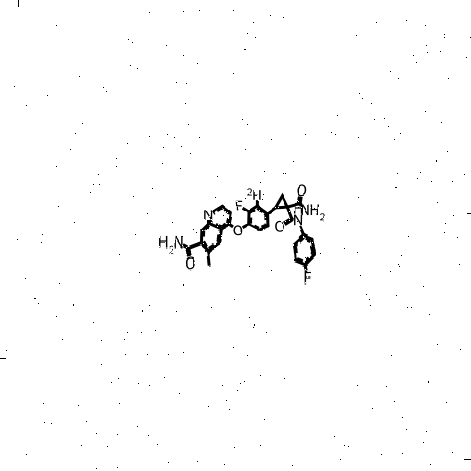 [2H]c1c(C2CC2(C(N)=O)C(=O)Nc2ccc(F)cc2)ccc(Oc2ccnc3cc(C(N)=O)c(C)cc23)c1F